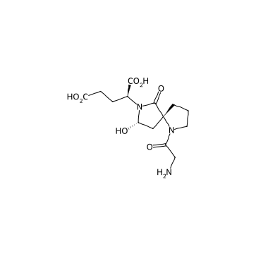 NCC(=O)N1CCC[C@]12C[C@H](O)N([C@@H](CCC(=O)O)C(=O)O)C2=O